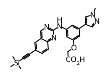 Cn1cc(-c2cc(Nc3ncc4cc(C#C[Si](C)(C)C)ccc4n3)cc(OCC(=O)O)c2)cn1